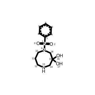 O=S(=O)(c1ccccc1)N1CCCNCC(O)(O)C1